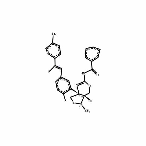 N#Cc1ccc(/C(F)=C/c2ccc(F)c([C@]34CO[C@H](C(F)(F)F)[C@H]3COC(NC(=O)c3ccccc3)=N4)c2)nc1